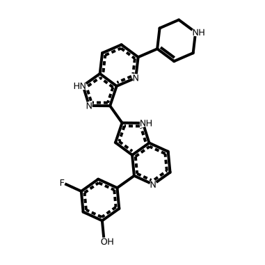 Oc1cc(F)cc(-c2nccc3[nH]c(-c4n[nH]c5ccc(C6=CCNCC6)nc45)cc23)c1